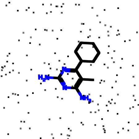 Cc1c(N)nc(N)nc1C1CCCCC1